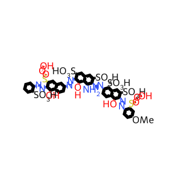 COc1ccc(N=Nc2c(S(=O)(=O)O)cc3c(S(=O)(=O)O)c(N=Nc4c(S(=O)(=O)O)cc5cc(S(=O)(=O)O)c(N=Nc6ccc7c(O)c(N=Nc8ccccc8S(=O)(=O)O)c(SOOO)cc7c6)c(O)c5c4N)ccc3c2O)c(SOOO)c1